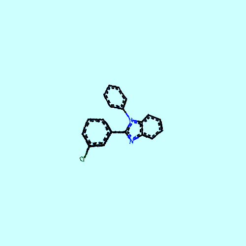 Clc1cccc(-c2nc3ccccc3n2-c2ccccc2)c1